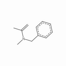 C=C(C)N(C)Cc1ccccc1